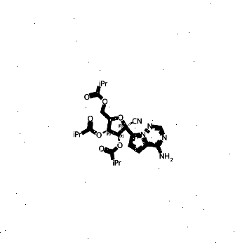 CC(C)C(=O)OCC1O[C@@](C#N)(c2ccc3c(N)ncnn23)[C@H](OC(=O)C(C)C)[C@@H]1OC(=O)C(C)C